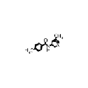 Cc1ccc(C(=O)NC2CN3CCC2C(C)C3)cc1